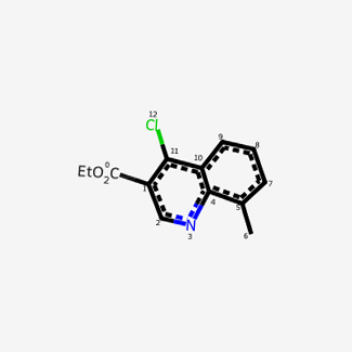 CCOC(=O)c1cnc2c(C)cccc2c1Cl